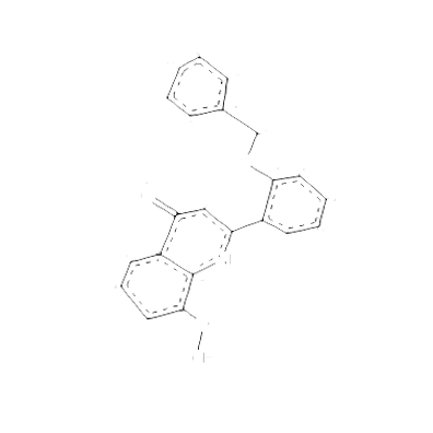 COc1cccc2c(=O)cc(-c3ccccc3SCc3ccccc3)[nH]c12